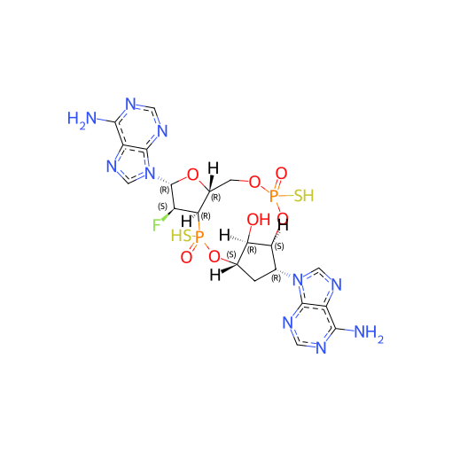 Nc1ncnc2c1ncn2[C@@H]1C[C@@H]2OP(=O)(S)[C@H]3[C@@H](F)[C@H](n4cnc5c(N)ncnc54)O[C@@H]3COP(=O)(S)O[C@@H]1[C@@H]2O